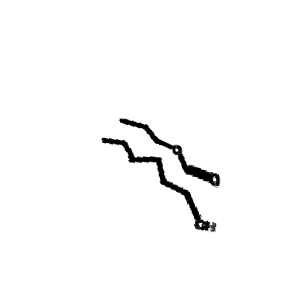 CCCCCCO.CCCOC=O